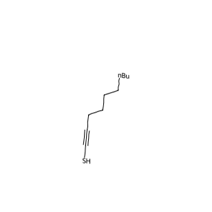 CCCCCCCCC#CS